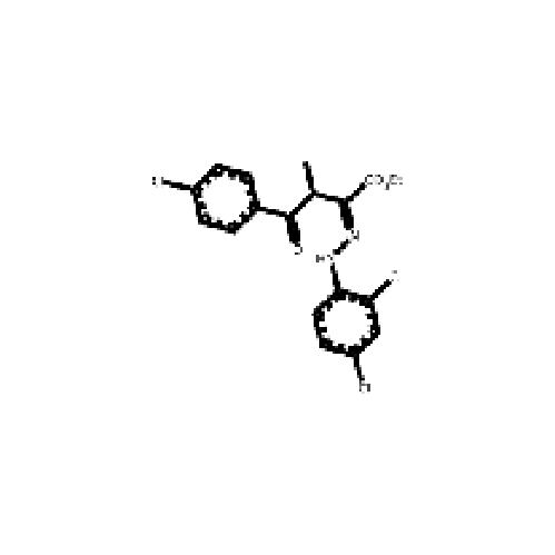 CCOC(=O)C(=NNc1ccc(Cl)cc1Cl)C(C)C(=O)c1ccc(Cl)cc1